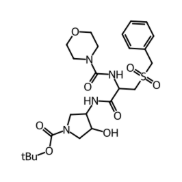 CC(C)(C)OC(=O)N1CC(O)C(NC(=O)C(CS(=O)(=O)Cc2ccccc2)NC(=O)N2CCOCC2)C1